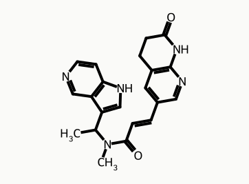 CC(c1c[nH]c2ccncc12)N(C)C(=O)C=Cc1cnc2c(c1)CCC(=O)N2